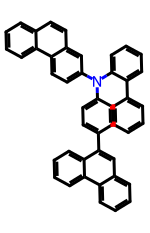 c1ccc(-c2ccccc2N(c2ccc(-c3cc4ccccc4c4ccccc34)cc2)c2ccc3c(ccc4ccccc43)c2)cc1